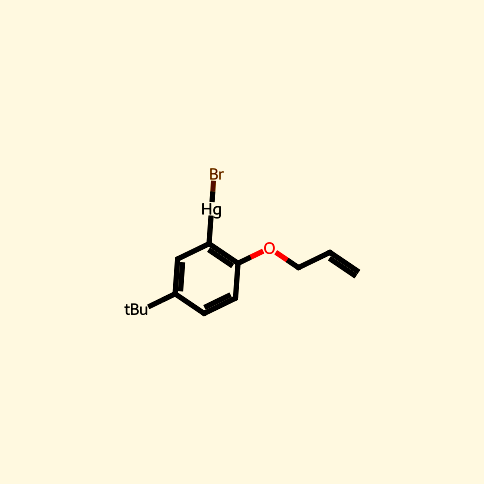 C=CCOc1ccc(C(C)(C)C)c[c]1[Hg][Br]